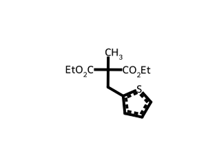 CCOC(=O)C(C)(Cc1cccs1)C(=O)OCC